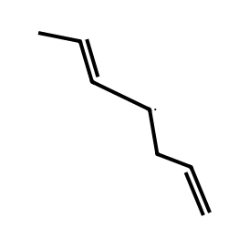 C=CC[CH]/C=C/C